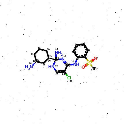 CC(C)S(=O)(=O)c1ccccc1NC1=NC(N)([C@@H]2CCC[C@H](N)C2)NC=C1Cl